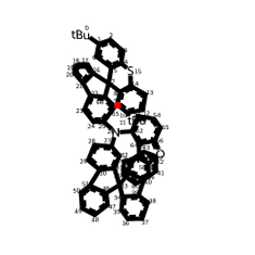 CC(C)(C)c1ccc2c(c1)C1(c3cc(C(C)(C)C)ccc3S2)c2ccccc2-c2ccc(N(c3ccc4c(c3)C3(c5ccccc5-c5ccccc53)c3ccccc3-4)c3cccc4oc5ccccc5c34)cc21